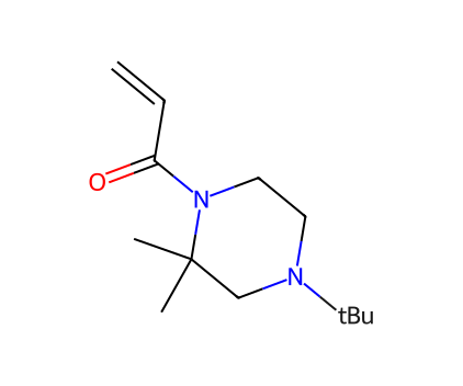 C=CC(=O)N1CCN(C(C)(C)C)CC1(C)C